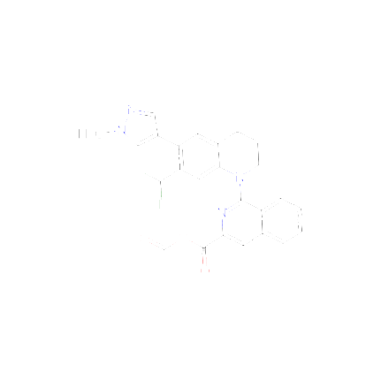 Cn1cc(-c2cc3c(cc2C(F)F)N(c2nc(C(=O)OC=O)cc4ccccc24)CCC3)cn1